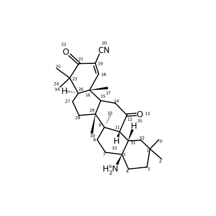 CC1(C)CC[C@]2(N)CC[C@]3(C)[C@H](C(=O)CC4[C@@]5(C)C=C(C#N)C(=O)C(C)(C)[C@@H]5CC[C@]43C)[C@@H]2C1